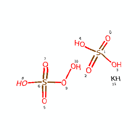 O=S(=O)(O)O.O=S(=O)(O)OO.[KH]